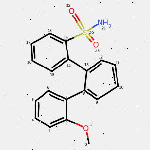 COc1ccccc1-c1ccccc1-c1ccccc1S(N)(=O)=O